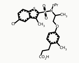 CCCN(C(C)COc1ccc(CCC(=O)O)c(C)c1)S(=O)(=O)c1sc2ccc(Cl)cc2c1C